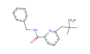 CC(C)(Cc1cccc(C(=O)NCc2ccccc2)n1)C(=O)O